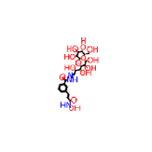 O=C(/C=C/c1cccc(C(=O)N/N=C/[C@H](O)[C@@H](O)[C@H](O[C@@H]2O[C@H](CO)[C@H](O)[C@H](O)[C@H]2O)[C@H](O)CO)c1)NO